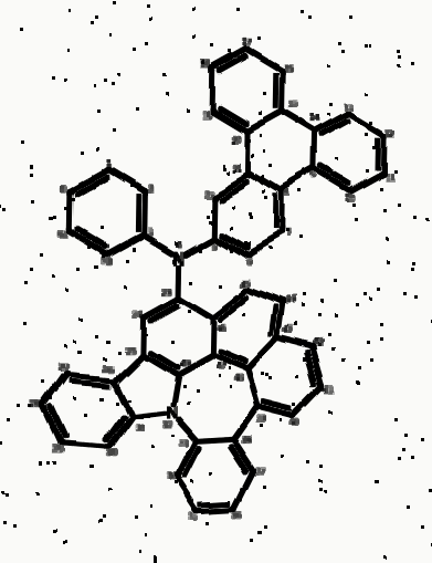 c1ccc(N(c2ccc3c4ccccc4c4ccccc4c3c2)c2cc3c4ccccc4n4c5ccccc5c5cccc6ccc2c(c65)c34)cc1